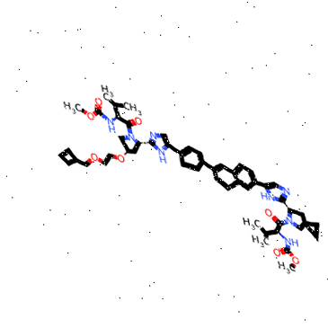 COC(=O)N[C@H](C(=O)N1C[C@@H](OCCOCC2CCC2)C[C@H]1c1ncc(-c2ccc(-c3ccc4cc(-c5cnc([C@@H]6CC7(CC7)CN6C(=O)[C@@H](NC(=O)OC)C(C)C)[nH]5)ccc4c3)cc2)[nH]1)C(C)C